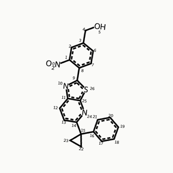 O=[N+]([O-])c1cc(CO)ccc1-c1nc2ccc(C3(c4ccccc4)CC3)nc2s1